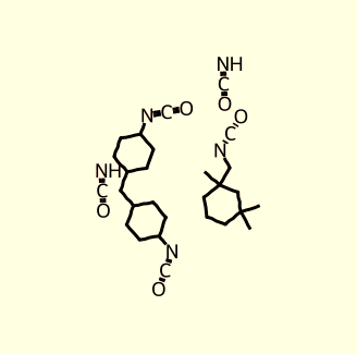 CC1(C)CCCC(C)(CN=C=O)C1.N=C=O.N=C=O.O=C=NC1CCC(CC2CCC(N=C=O)CC2)CC1